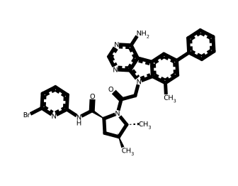 Cc1cc(-c2ccccc2)cc2c3c(N)ncnc3n(CC(=O)N3[C@H](C)[C@@H](C)C[C@H]3C(=O)Nc3cccc(Br)n3)c12